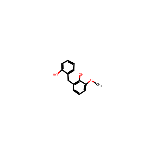 COc1cccc(Cc2ccccc2O)c1O